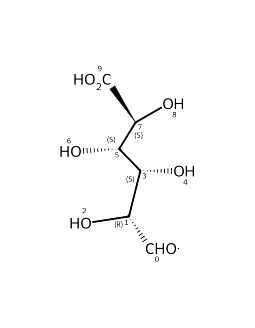 O=[C][C@H](O)[C@@H](O)[C@H](O)[C@H](O)C(=O)O